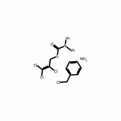 CC(C)N(C(=O)SCC(Cl)=C(Cl)Cl)C(C)C.ClCc1ccccc1.N